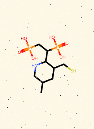 CC1CNC(C(CP(=O)(O)O)P(=O)(O)O)C(CS)C1